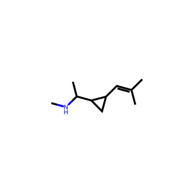 CNC(C)C1CC1C=C(C)C